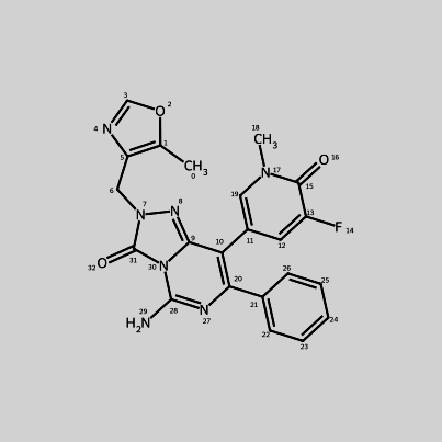 Cc1ocnc1Cn1nc2c(-c3cc(F)c(=O)n(C)c3)c(-c3ccccc3)nc(N)n2c1=O